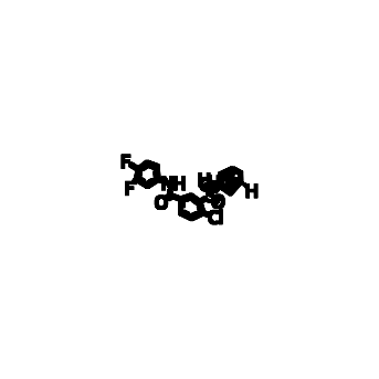 C[C@@]1(O)C2CC(S(=O)(=O)c3cc(C(=O)Nc4ccc(F)c(F)c4)ccc3Cl)C[C@@H]1C2